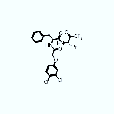 CC(C)[C@H](NC(=O)[C@H](Cc1ccccc1)NC(=O)COc1ccc(Cl)c(Cl)c1)C(=O)C(F)(F)F